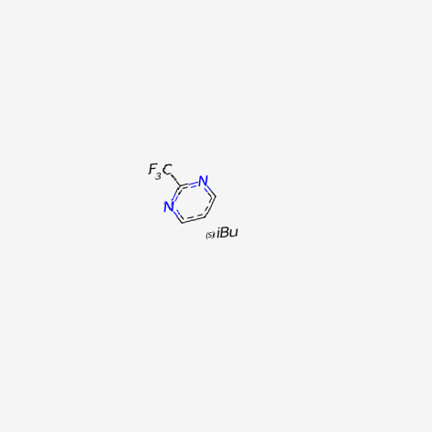 CC[C@H](C)c1cnc(C(F)(F)F)nc1